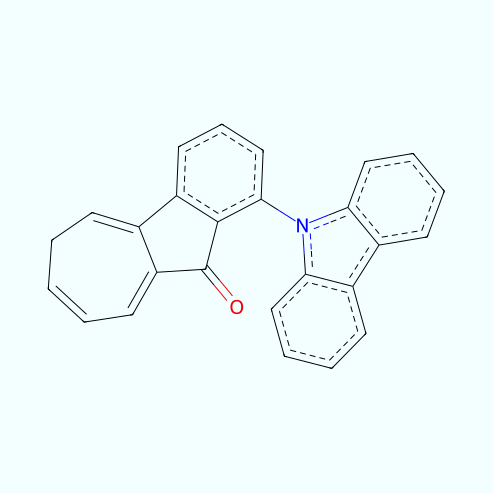 O=C1C2=CC=CCC=C2c2cccc(-n3c4ccccc4c4ccccc43)c21